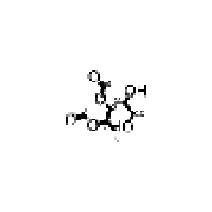 CC(COC=O)OC=O.OCCO